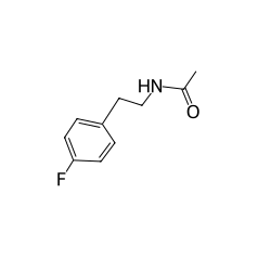 CC(=O)NCCc1ccc(F)cc1